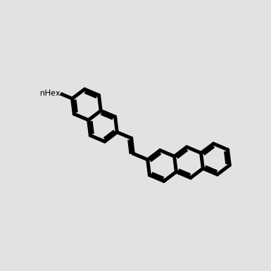 CCCCCCc1ccc2cc(C=Cc3ccc4cc5ccccc5cc4c3)ccc2c1